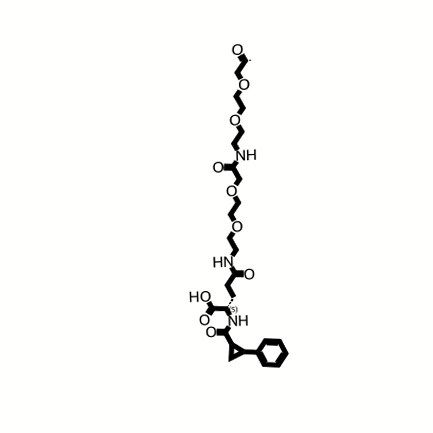 O=[C]COCCOCCNC(=O)COCCOCCNC(=O)CC[C@H](NC(=O)C1CC1c1ccccc1)C(=O)O